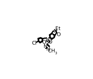 CCN1Cc2cc(N(Cc3ccc(Cl)cc3)S(=O)(=O)c3cn(C)cn3)ccc2C1=O